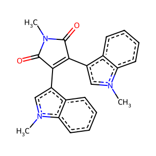 CN1C(=O)C(c2cn(C)c3ccccc23)=C(c2cn(C)c3ccccc23)C1=O